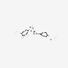 CCN(c1nc(-c2ccc(OC(F)(F)F)cc2)sc1C)S(=O)(=O)c1ccc(C(C)C)c(C(=O)O)c1